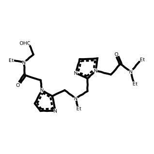 CCN(Cc1nccn1CC(=O)N(CC)CC)Cc1nccn1CC(=O)N(CC)CC=O